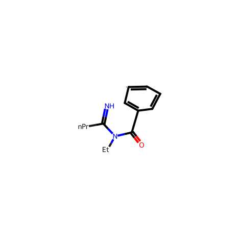 CCCC(=N)N(CC)C(=O)c1c[c]ccc1